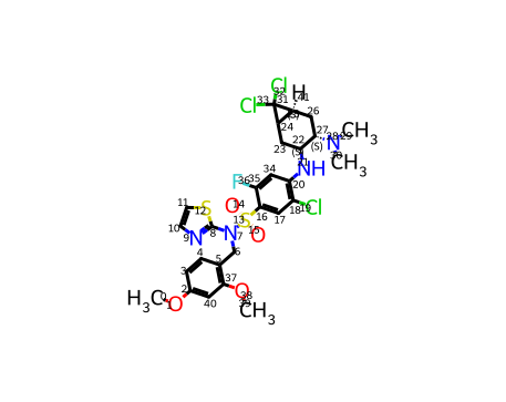 COc1ccc(CN(c2nccs2)S(=O)(=O)c2cc(Cl)c(N[C@H]3CC4[C@H](C[C@@H]3N(C)C)C4(Cl)Cl)cc2F)c(OC)c1